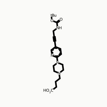 CC(C)(C)OC(=O)NCC#Cc1ccc(N2CCN(CCCC(=O)O)CC2)nc1